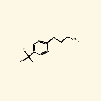 CCCOc1ccc(C(F)(F)F)cn1